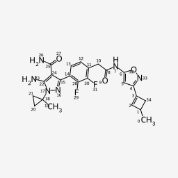 CC1C=C(c2cc(NC(=O)Cc3ccc(-c4nn(C5(C)CC5)c(N)c4C(N)=O)c(F)c3F)on2)C1